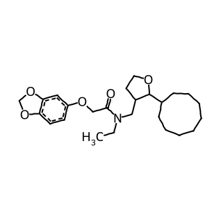 CCN(CC1CCOC1C1CCCCCCCC1)C(=O)COc1ccc2c(c1)OCO2